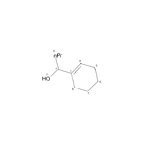 CCCC(O)C1=CCCCC1